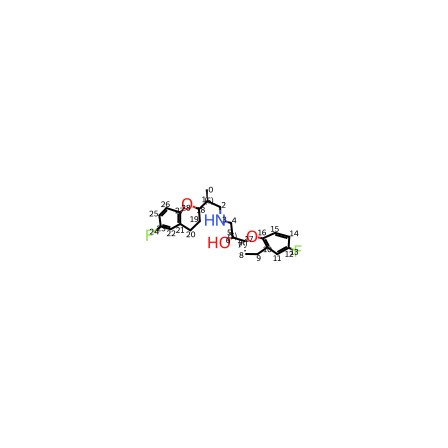 C[C@@H](CNC[C@H](O)[C@H]1CCc2cc(F)ccc2O1)C1CCc2cc(F)ccc2O1